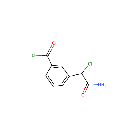 NC(=O)C(Cl)c1cccc(C(=O)Cl)c1